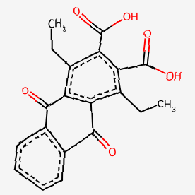 CCc1c(C(=O)O)c(C(=O)O)c(CC)c2c1C(=O)c1ccccc1C2=O